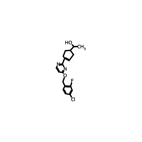 CC(O)C1CC=C(c2nccc(OCc3ccc(Cl)cc3F)n2)CC1